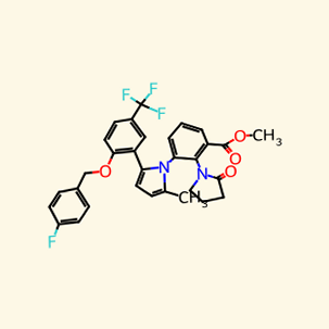 COC(=O)c1cccc(-n2c(C)ccc2-c2cc(C(F)(F)F)ccc2OCc2ccc(F)cc2)c1N1CCCC1=O